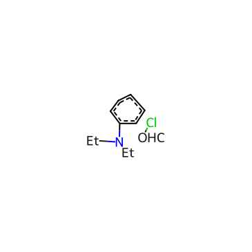 CCN(CC)c1ccccc1.O=CCl